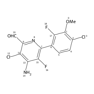 COc1c(Cl)ccc(-c2nc(C=O)c(Cl)c(N)c2F)c1F